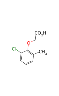 Cc1cccc(Cl)c1OCC(=O)O